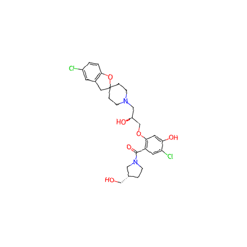 O=C(c1cc(Cl)c(O)cc1OC[C@@H](O)CN1CCC2(CC1)Cc1cc(Cl)ccc1O2)N1CC[C@H](CO)C1